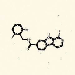 O=C(NCc1c(F)cccc1F)c1ccc2c(c1)[nH]c1c(F)nccc12